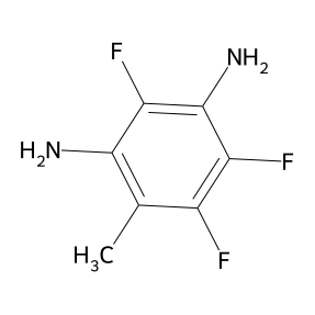 Cc1c(N)c(F)c(N)c(F)c1F